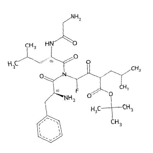 CC(C)CC(C(=O)OC(C)(C)C)C(=O)C(F)N(C(=O)[C@H](CC(C)C)NC(=O)CN)C(=O)[C@@H](N)Cc1ccccc1